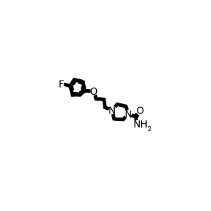 NC(=O)N1CCN(CCCOc2ccc(F)cc2)CC1